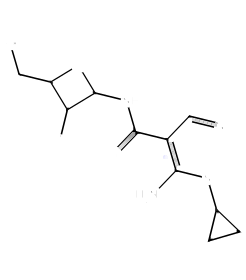 N=C/C(C(=O)NC1OC(CO)C1O)=C(/N)NC1CC1